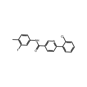 Cc1ccc(NC(=O)c2ccc(-c3ccccc3Cl)nc2)cc1F